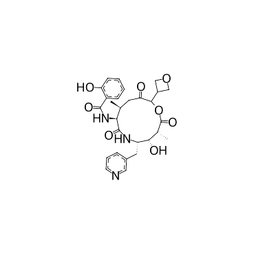 C[C@H]1CC(=O)C(C2COC2)OC(=O)[C@H](C)[C@H](O)[C@H](Cc2cccnc2)NC(=O)[C@H]1NC(=O)c1ccccc1O